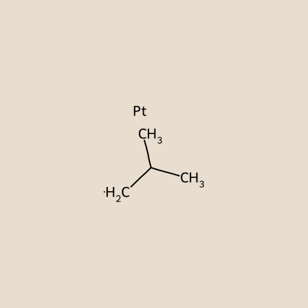 [CH2]C(C)C.[Pt]